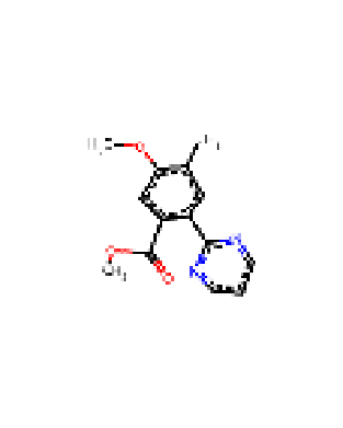 COC(=O)c1cc(OC)c(C)cc1-c1ncccn1